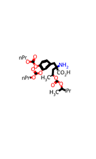 CCCOC(=O)Oc1ccc(CC(N)(C[C@H](C)OC(=O)OC(C)C(C)C)C(=O)O)cc1OC(=O)OCCC